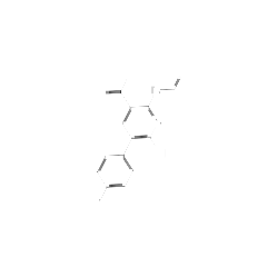 O=CNc1nc(Cl)c(-c2ccc(Cl)cc2)cc1C(=O)O